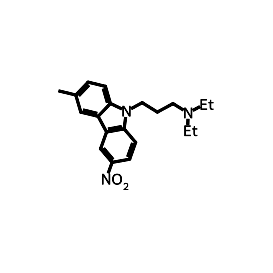 CCN(CC)CCCn1c2ccc(C)cc2c2cc([N+](=O)[O-])ccc21